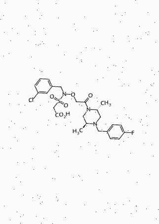 C[C@@H]1CN(Cc2ccc(F)cc2)[C@@H](C)CN1C(=O)CON(Cc1cccc(Cl)c1)S(=O)(=O)CC(=O)O